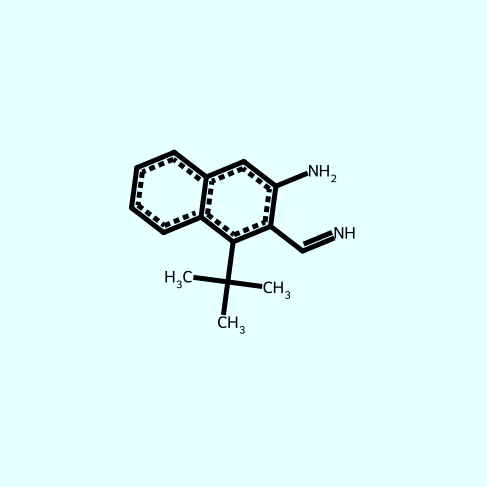 CC(C)(C)c1c(C=N)c(N)cc2ccccc12